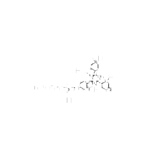 CCCCCCCCCCCCOCC(O)COc1ccc(-c2nc(-c3ccc(C)cc3C)nc(-c3ccc(C)cc3C)n2)c(C)c1